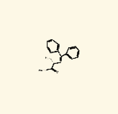 COC(=O)[C@H](C)N=C(c1ccccc1)c1ccccc1